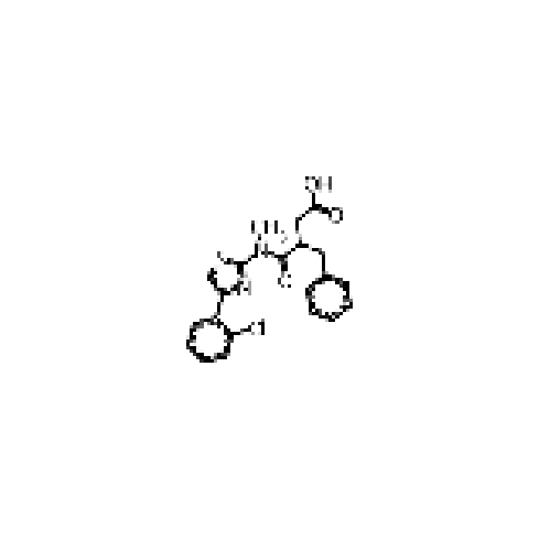 CN(C(=O)[C@@H](CC(=O)O)Cc1ccccc1)c1nc(-c2ccccc2Cl)cs1